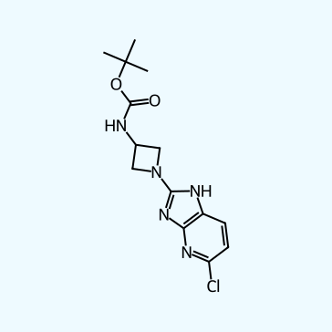 CC(C)(C)OC(=O)NC1CN(c2nc3nc(Cl)ccc3[nH]2)C1